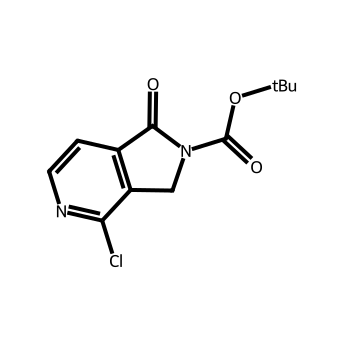 CC(C)(C)OC(=O)N1Cc2c(ccnc2Cl)C1=O